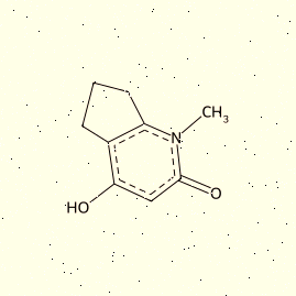 Cn1c2c(c(O)cc1=O)CCC2